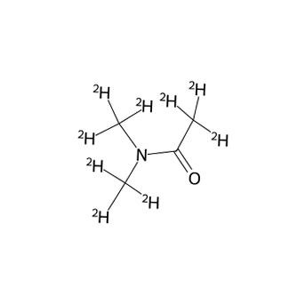 [2H]C([2H])([2H])C(=O)N(C([2H])([2H])[2H])C([2H])([2H])[2H]